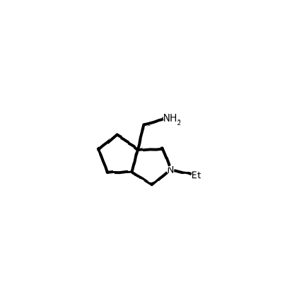 CCN1CC2CCCC2(CN)C1